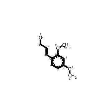 COc1ccc(C=CC[O])c(OC)c1